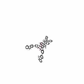 Cc1ccc(N(c2ccc(C)cc2-c2ccc3c(c2)C(C)(C)c2cc(-c4ccc5c(c4)C(C)(C)c4ccccc4-5)ccc2-3)c2c3ccccc3c(N(c3ccccc3)c3ccc4ccccc4c3)c3ccccc23)c(-c2ccc3c(c2)C(C)(C)c2cc(-c4ccc5c(c4)C(C)(C)c4ccccc4-5)ccc2-3)c1